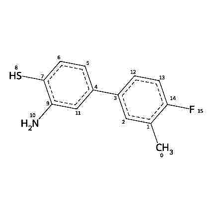 Cc1cc(-c2ccc(S)c(N)c2)ccc1F